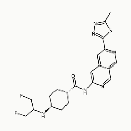 Cc1nnc(-c2cc3cc(NC(=O)[C@H]4CC[C@H](NC(CF)CF)CC4)ncc3cn2)s1